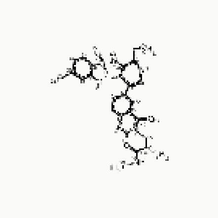 CCc1ncc(-c2ccc3ncn(C[C@H](C)C(=O)NC)c(=O)c3c2)cc1NS(=O)(=O)c1ccc(F)cc1Cl